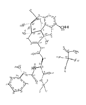 CN1CC[C@]23c4c5ccc(O)c4O[C@H]2C(OC(=O)C[C@H](NC(=O)[C@@H](O)c2ccccc2)C(=O)OC(C)(C)C)=CC[C@@]3(O)[C@H]1C5.O=C(O)C(F)(F)F